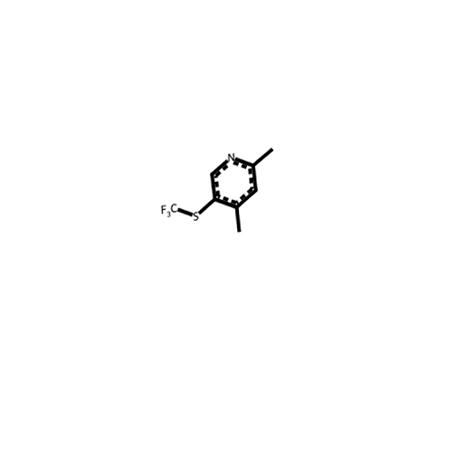 Cc1cc(C)c(SC(F)(F)F)cn1